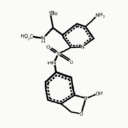 CC(C)(C)C(NC(=O)O)c1cc(N)cnc1S(=O)(=O)Nc1ccc2c(c1)B(O)OC2